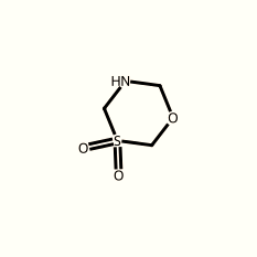 O=S1(=O)CNCOC1